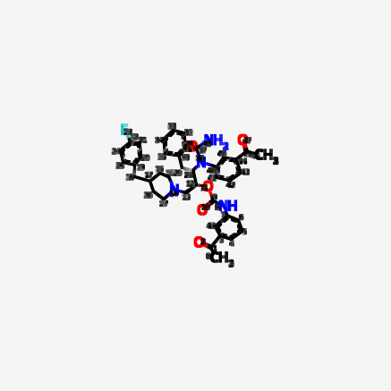 CC(=O)c1cccc(NC(=O)O[C@@H](CN2CCC(Cc3ccc(F)cc3)CC2)[C@H](Cc2ccccc2)N(C(N)=O)c2cccc(C(C)=O)c2)c1